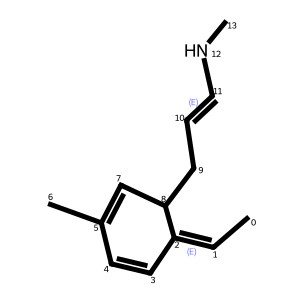 C/C=C1/C=CC(C)=CC1C/C=C/NC